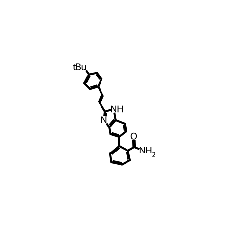 CC(C)(C)c1ccc(C=Cc2nc3cc(-c4ccccc4C(N)=O)ccc3[nH]2)cc1